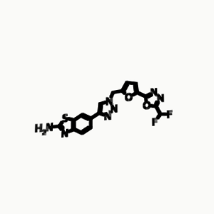 Nc1nc2ccc(-c3cn(Cc4ccc(-c5nnc(C(F)F)o5)o4)nn3)cc2s1